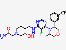 CC1COCC(c2cccc(C(F)(F)F)c2)N1c1ncnc(NCC2CCN(CC(N)=O)CC2O)c1F